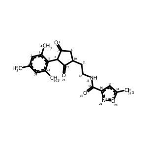 Cc1cc(C)c(C2C(=O)CC(CCNC(=O)c3cc(C)on3)C2=O)c(C)c1